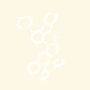 Clc1ccc2c(c1-c1ccc(-c3ccccc3)c3c1sc1ccccc13)Oc1ccccc1C21c2ccccc2-c2ccccc21